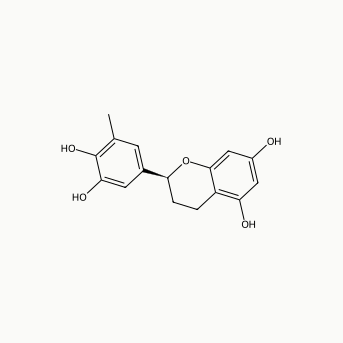 Cc1cc([C@@H]2CCc3c(O)cc(O)cc3O2)cc(O)c1O